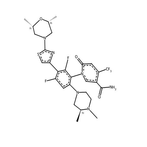 C[C@@H]1CN(c2nc(-c3c(F)cc(N4CCN(C)[C@@H](C)C4)c(-n4cc(C(N)=O)c(C(F)(F)F)cc4=O)c3F)cs2)C[C@H](C)O1